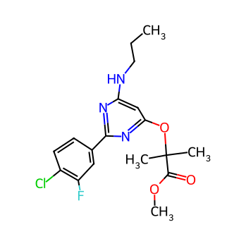 CCCNc1cc(OC(C)(C)C(=O)OC)nc(-c2ccc(Cl)c(F)c2)n1